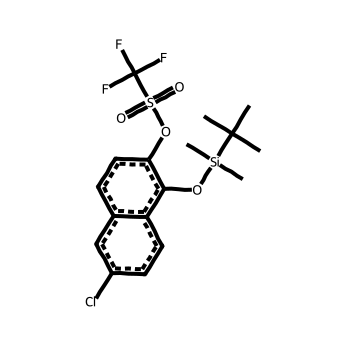 CC(C)(C)[Si](C)(C)Oc1c(OS(=O)(=O)C(F)(F)F)ccc2cc(Cl)ccc12